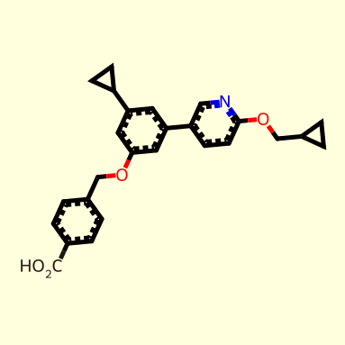 O=C(O)c1ccc(COc2cc(-c3ccc(OCC4CC4)nc3)cc(C3CC3)c2)cc1